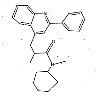 CC(Cc1cc(-c2ccccc2)nc2ccccc12)C(=O)N(C)C1CCCCC1